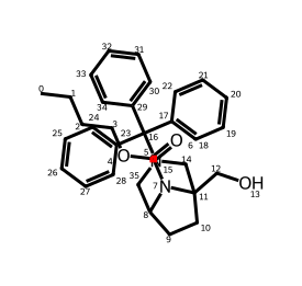 CCCCOC(=O)N1C2CCC1(CO)CN(C(c1ccccc1)(c1ccccc1)c1ccccc1)C2